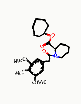 COc1cc(CC(=O)N2CCCCC2C(=O)OC2CCCCCC2)cc(OC)c1OC